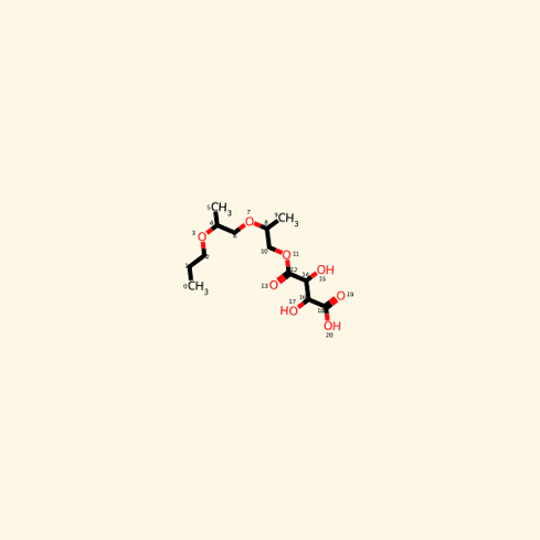 CCCOC(C)COC(C)COC(=O)C(O)C(O)C(=O)O